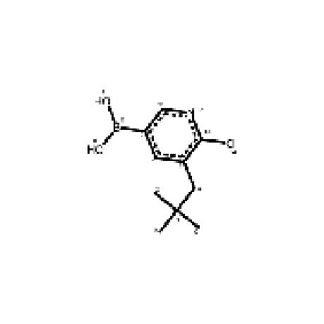 CC(C)(C)Cc1cc(B(O)O)cnc1Cl